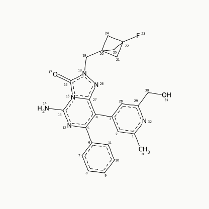 Cc1cc(-c2c(-c3ccccc3)nc(N)n3c(=O)n(CC45CC(F)(C4)C5)nc23)cc(CO)n1